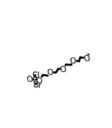 COCCOCCOCCOCCOP(=O)(Cl)Br